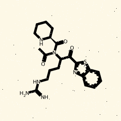 CC(=O)N(C(=O)[C@@H]1CCCCN1)C(CCCNC(=N)N)C(=O)c1nc2ccccc2s1